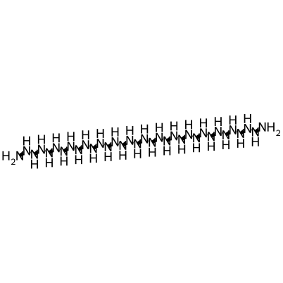 NNNNNNNNNNNNNNNNNNNNNNNNNNNNNNNNNN